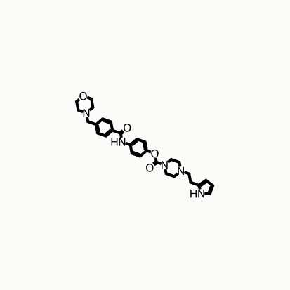 O=C(Nc1ccc(OC(=O)N2CCN(CCc3ccc[nH]3)CC2)cc1)c1ccc(CN2CCOCC2)cc1